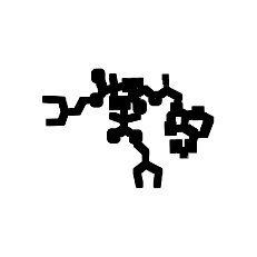 CCC(CC)CCOC(=O)C(C)(C)NP(=O)(CO[C@H](C)Cn1cnc2c(N)ccnc21)NC(C)(C)C(=O)OCCC(CC)CC